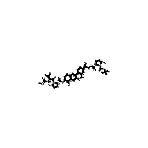 COC(=O)N[C@H](C(=O)N1[C@@H](C)CC[C@H]1C(=O)OC1CCc2cc3c(cc2C1=O)OCc1cc(C(=O)COC(=O)[C@@H]2CC[C@H](C)N2C(=O)OC(C)(C)C)ccc1-3)C(C)C